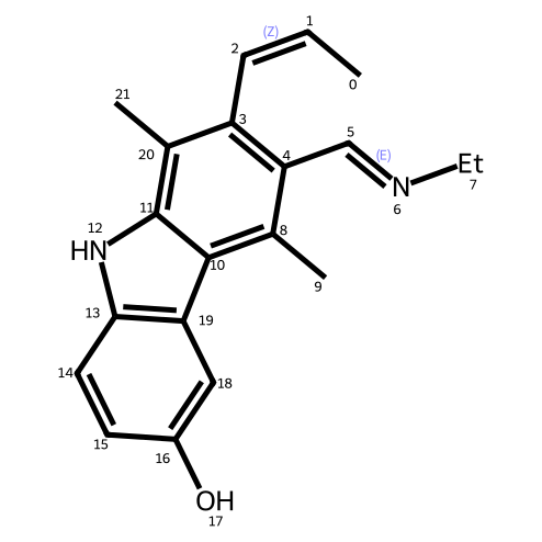 C/C=C\c1c(/C=N/CC)c(C)c2c([nH]c3ccc(O)cc32)c1C